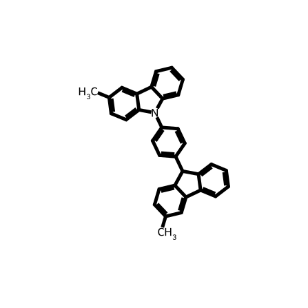 Cc1ccc2c(c1)-c1ccccc1C2c1ccc(-n2c3ccccc3c3cc(C)ccc32)cc1